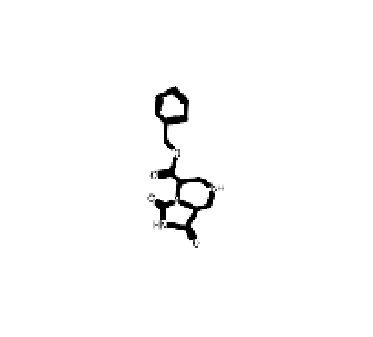 O=C1NC(=O)N2C1CNCC2C(=O)OCc1ccccc1